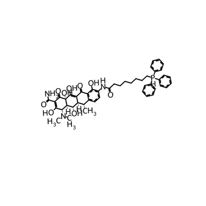 C[C@H]1c2ccc(NC(=O)CCCCCCC[PH](c3ccccc3)(c3ccccc3)c3ccccc3)c(O)c2C(=O)C2=C(O)[C@]3(O)C(=O)C(C(N)=O)=C(O)[C@@H](N(C)C)[C@@H]3[C@@H](O)[C@@H]21